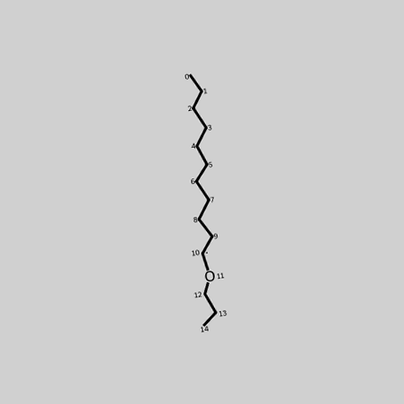 CCCCCCCCCC[CH]OCCC